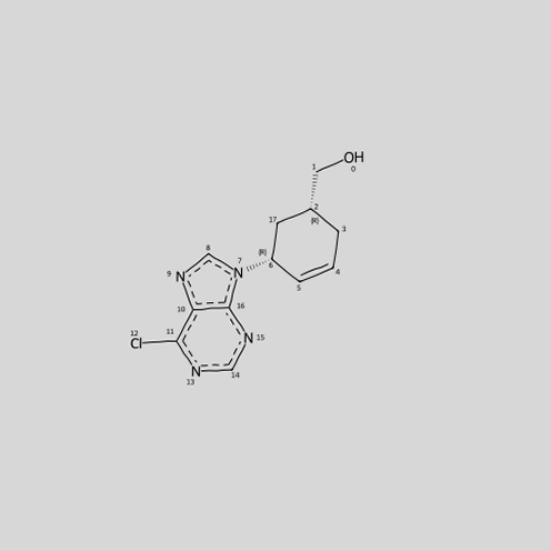 OC[C@@H]1CC=C[C@H](n2cnc3c(Cl)ncnc32)C1